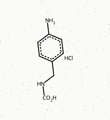 Cl.Nc1ccc(CNC(=O)O)cc1